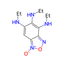 CCNc1cc2c(no[n+]2[O-])c(NCC)c1NCC